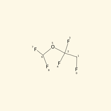 FCC(F)(F)OC(F)F